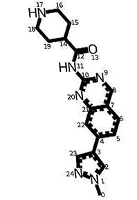 Cn1cc(-c2ccc3cnc(NC(=O)C4CCNCC4)nc3c2)cn1